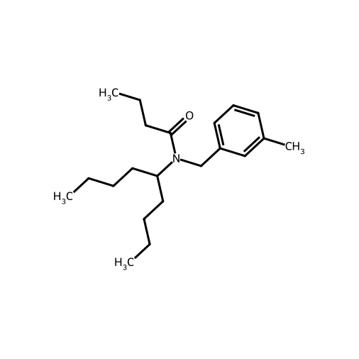 CCCCC(CCCC)N(Cc1cccc(C)c1)C(=O)CCC